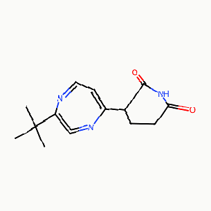 CC(C)(C)C1=C=NC(C2CCC(=O)NC2=O)=CC=N1